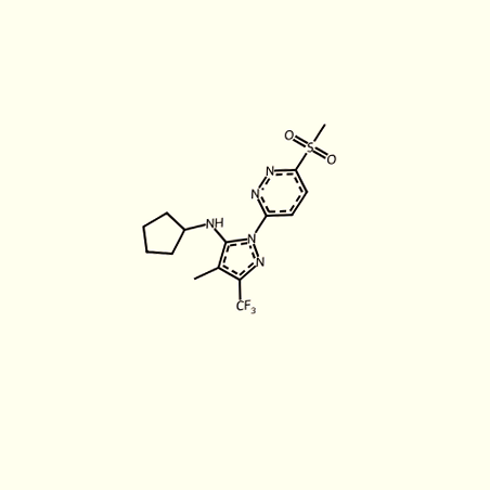 Cc1c(C(F)(F)F)nn(-c2ccc(S(C)(=O)=O)nn2)c1NC1CCCC1